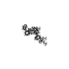 CCCCC(=O)Nc1cncc(-c2ccc3[nH]nc(-c4nc5c(-c6ccoc6)cccc5[nH]4)c3n2)c1